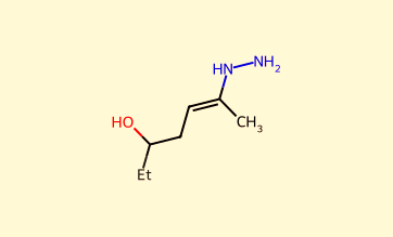 CCC(O)C/C=C(\C)NN